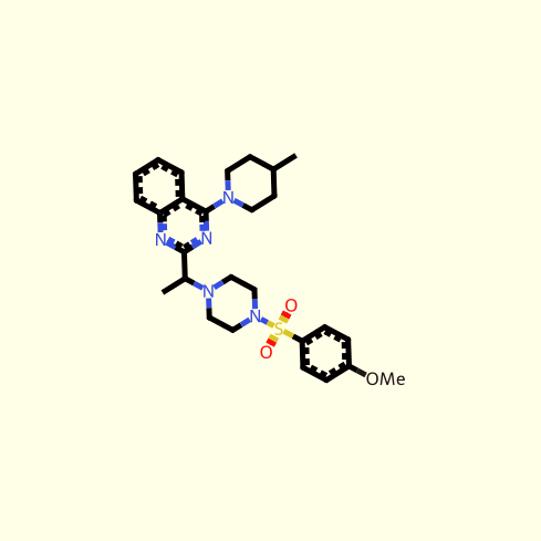 COc1ccc(S(=O)(=O)N2CCN(C(C)c3nc(N4CCC(C)CC4)c4ccccc4n3)CC2)cc1